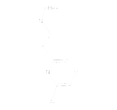 CCCCCCN=CCc1cccc(C(C)=O)n1